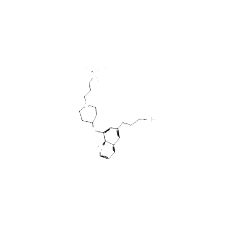 CCCCc1cc(OC2CCN(CCCS(C)(=O)=O)CC2)c2ncccc2c1